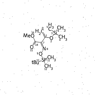 C=C(O[Si](C)(C)C)C(=NO[Si](C)(C)C(C)(C)C)C(=O)OC